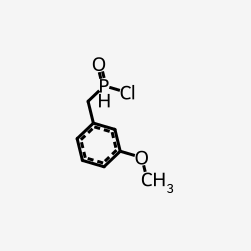 COc1cccc(C[PH](=O)Cl)c1